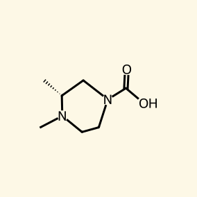 C[C@@H]1CN(C(=O)O)CCN1C